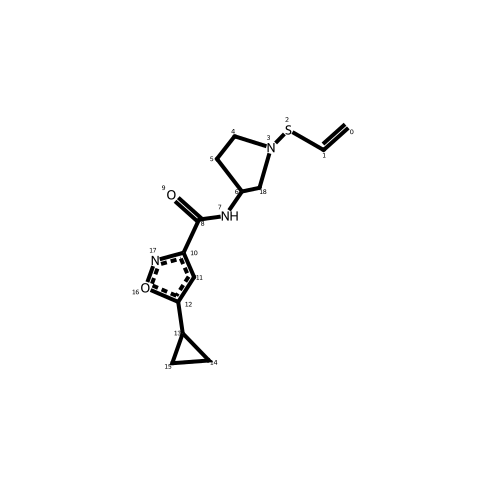 C=CSN1CCC(NC(=O)c2cc(C3CC3)on2)C1